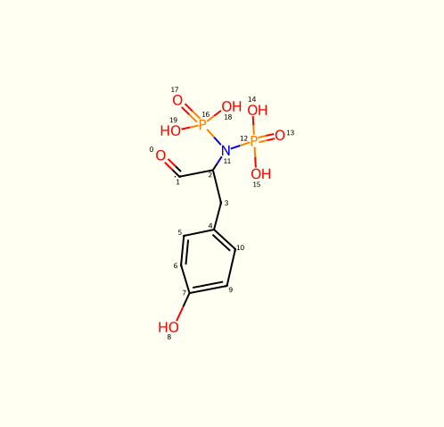 O=[C]C(Cc1ccc(O)cc1)N(P(=O)(O)O)P(=O)(O)O